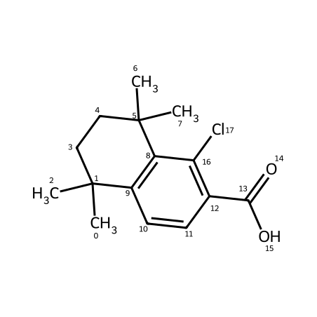 CC1(C)CCC(C)(C)c2c1ccc(C(=O)O)c2Cl